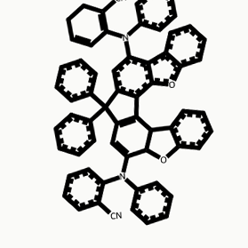 N#CC1=C(N(c2ccccc2)c2cc3c(c4oc5ccccc5c24)C2=C(C=C(N(c4ccccc4)c4ccccc4C#N)C4Oc5ccccc5C24)C3(c2ccccc2)c2ccccc2)C=CCC1